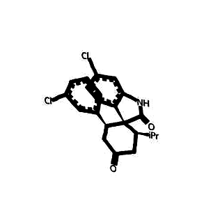 CC(C)[C@H]1CC(=O)C[C@@H](c2cccc(Cl)c2)[C@]12C(=O)Nc1cc(Cl)ccc12